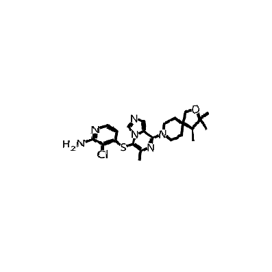 Cc1nc(N2CCC3(CC2)COC(C)(C)[C@H]3C)c2cncn2c1Sc1ccnc(N)c1Cl